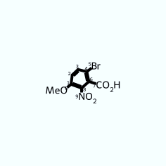 COc1ccc(Br)c(C(=O)O)c1[N+](=O)[O-]